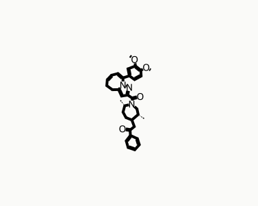 COc1ccc(/C2=C/C=C\CCc3cc(C(=O)N4C[C@H](C)C(CC(=O)c5ccccc5)CC[C@@H]4C)nn32)cc1OC